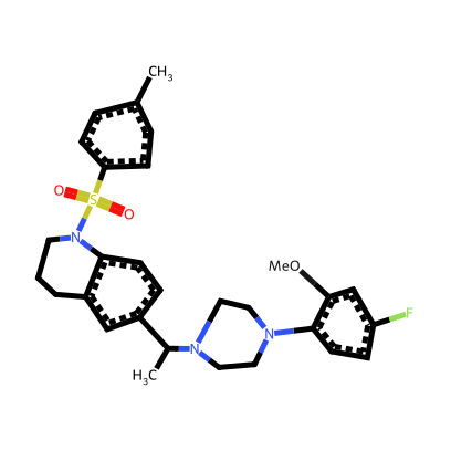 COc1cc(F)ccc1N1CCN(C(C)c2ccc3c(c2)CCCN3S(=O)(=O)c2ccc(C)cc2)CC1